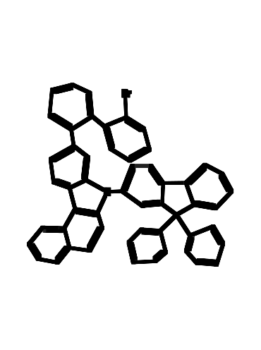 Brc1ccccc1-c1ccccc1-c1ccc2c3c4ccccc4ccc3n(-c3ccc4c(c3)C(c3ccccc3)(c3ccccc3)c3ccccc3-4)c2c1